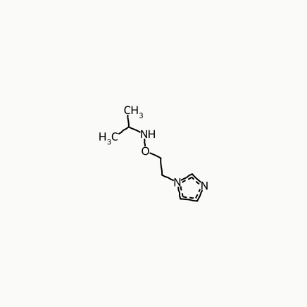 CC(C)NOCCn1ccnc1